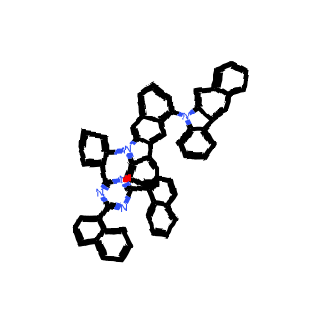 c1ccc(-n2c3ccccc3c3cc4c(-n5c6ccccc6c6cc7ccccc7cc65)cccc4cc32)c(-c2nc(-c3cccc4ccccc34)nc(-c3cccc4ccccc34)n2)c1